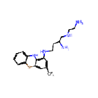 NCCNCC(N)CCNc1cc(C(F)(F)F)cc2c1Nc1ccccc1S2